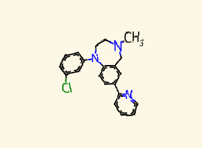 CN1CCN(c2cccc(Cl)c2)c2ccc(-c3ccccn3)cc2C1